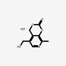 Cc1ncc(CS)c2c1OC(=O)OC2.Cl